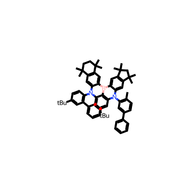 Cc1ccc(-c2ccccc2)cc1N1c2cc3c(cc2B2c4cc5c(cc4N(c4ccc(C(C)(C)C)cc4-c4ccccc4)c4cc(C(C)(C)C)cc1c42)C(C)(C)CCC5(C)C)C(C)(C)CC3(C)C